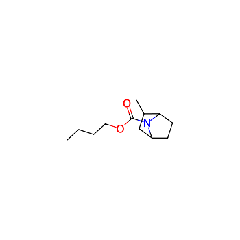 CCCCOC(=O)N1C2CCC1C(C)C2